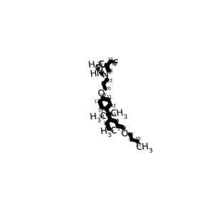 C\C=C/C(=C\C=C\OCCCC)C(C)(C)c1ccc(OCCCN(/C=C(\C)CF)NC)cc1